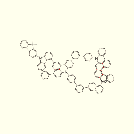 CC1(C)c2ccccc2-c2ccc(-n3c4ccccc4c4c(-c5cccc(-c6ccccc6N(c6ccc(-c7ccccc7)cc6)c6ccc(-c7cccc(-c8ccc9c(-n%10c%11ccccc%11c%11c(-c%12cccc(-c%13ccccc%13N(c%13ccc(-c%14ccccc%14)cc%13)c%13ccc(-c%14ccccc%14)cc%13)c%12)cccc%11%10)cccc9c8)c7)cc6)c5)cccc43)cc21